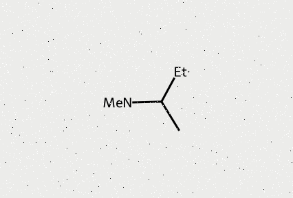 C[CH]C(C)NC